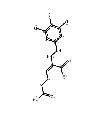 O=C(O)CCC=C(NNc1cc(Cl)c(F)c(Cl)c1)C(=O)O